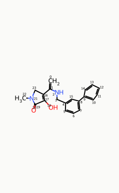 C=C(NCc1cccc(-c2ccccc2)c1)C1=C(O)C(=O)N(C)C1